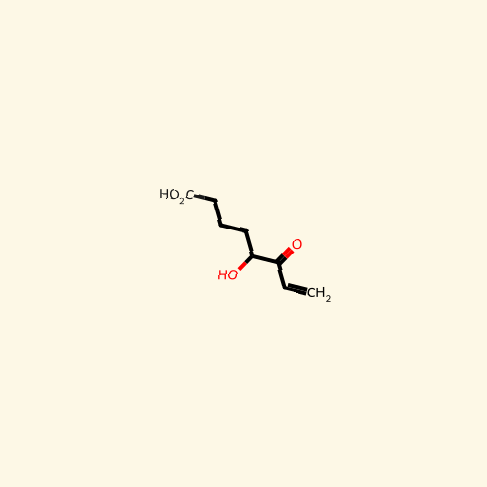 C=CC(=O)C(O)CCCC(=O)O